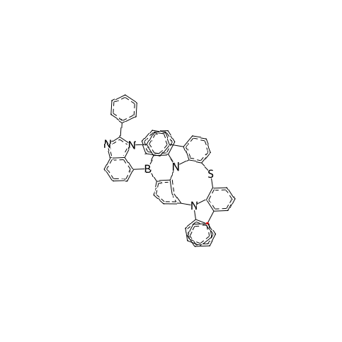 c1ccc(-c2cccc3c2N(c2ccccc2)c2ccc4c(c2)N(c2cccc5c2B4c2cccc4nc(-c6ccccc6)n-5c24)c2c(cccc2-c2ccccc2)S3)cc1